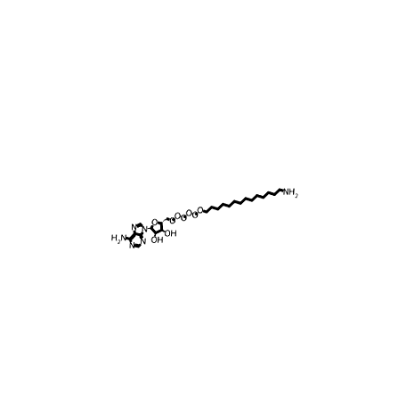 NCCCCCCCCCCCCCCOOOOOOC[C@H]1O[C@@H](n2cnc3c(N)ncnc32)[C@H](O)[C@@H]1O